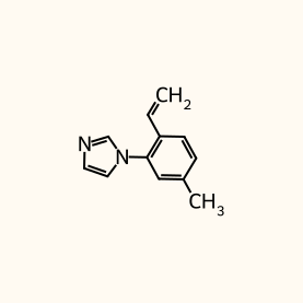 C=Cc1ccc(C)cc1-n1ccnc1